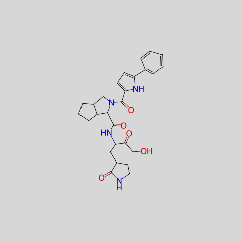 O=C1NCCC1CC(NC(=O)C1C2CCCC2CN1C(=O)c1ccc(-c2ccccc2)[nH]1)C(=O)CO